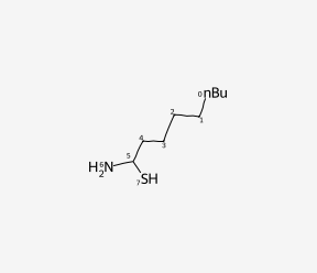 CCCCCCCCC(N)S